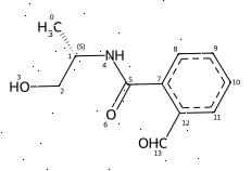 C[C@@H](CO)NC(=O)c1ccccc1C=O